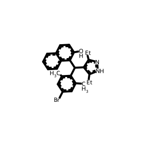 CCc1n[nH]c(CC)c1C(c1c(C)cc(Br)cc1C)c1c(O)ccc2ccccc12